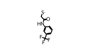 O=C(C[S])Nc1cccc(C(F)(F)F)c1